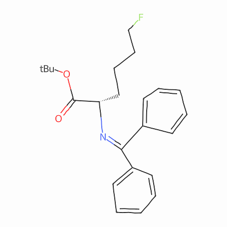 CC(C)(C)OC(=O)[C@H](CCCCF)N=C(c1ccccc1)c1ccccc1